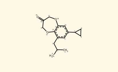 CC(C)Cc1cc(C2CC2)cc2c1OCC(=O)CO2